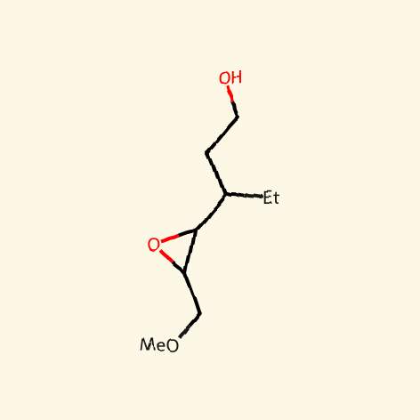 CCC(CCO)C1OC1COC